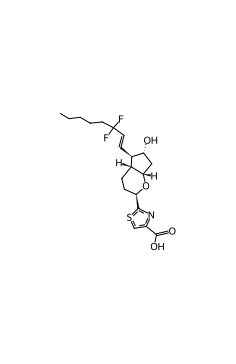 CCCCCC(F)(F)/C=C/[C@@H]1[C@H]2CC[C@H](c3nc(C(=O)O)cs3)O[C@H]2C[C@H]1O